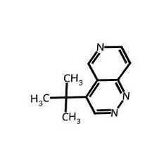 CC(C)(C)c1cnnc2ccncc12